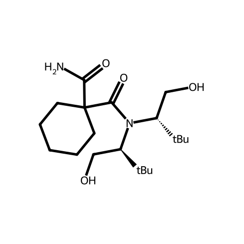 CC(C)(C)[C@@H](CO)N(C(=O)C1(C(N)=O)CCCCC1)[C@H](CO)C(C)(C)C